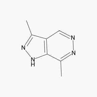 Cc1n[nH]c2c(C)nncc12